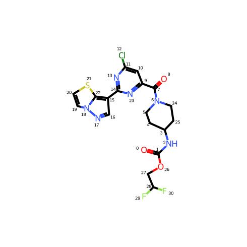 O=C(NC1CCN(C(=O)c2cc(Cl)nc(-c3cnn4ccsc34)n2)CC1)OCC(F)F